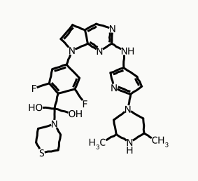 CC1CN(c2ccc(Nc3ncc4ccn(-c5cc(F)c(C(O)(O)N6CCSCC6)c(F)c5)c4n3)cn2)CC(C)N1